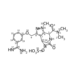 CN(C)C(=O)C1c2c(c(COc3cccc(C(=N)N)c3)nn2C)C2CN1C(=O)N2OS(=O)(=O)O